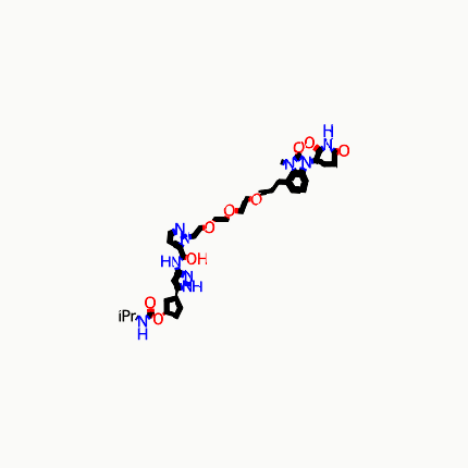 CC(C)NC(=O)O[C@@H]1CC[C@H](c2cc(NC(O)c3ccnn3CCOCCOCCOCCCc3cccc4c3n(C)c(=O)n4C3CCC(=O)NC3=O)n[nH]2)C1